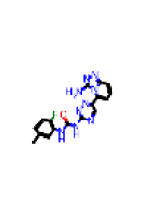 Cc1ccc(F)c(NC(=O)Nc2ncc(-c3cccc4nnc(N)n34)nn2)c1